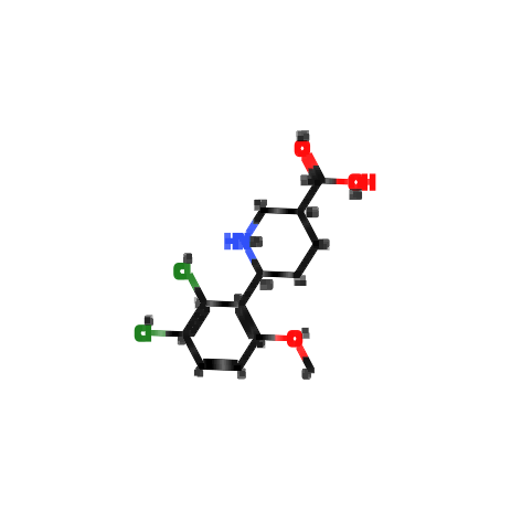 COc1ccc(Cl)c(Cl)c1C1CCC(C(=O)O)CN1